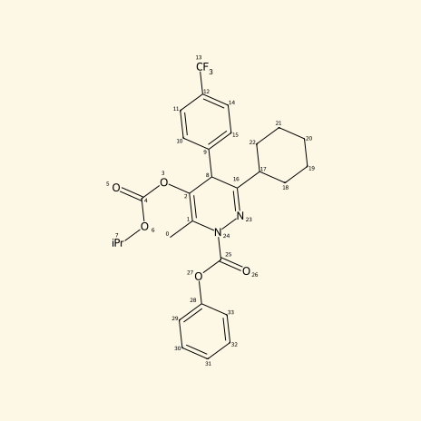 CC1=C(OC(=O)OC(C)C)C(c2ccc(C(F)(F)F)cc2)C(C2CCCCC2)=NN1C(=O)Oc1ccccc1